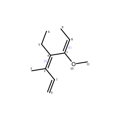 C=C/C(C)=C(CC)\C(=C/C)OC